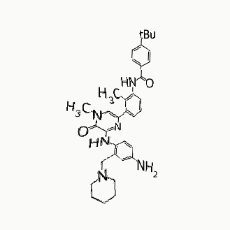 Cc1c(NC(=O)c2ccc(C(C)(C)C)cc2)cccc1-c1cn(C)c(=O)c(Nc2ccc(N)cc2CN2CCCCC2)n1